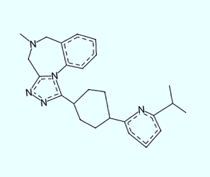 CC(C)c1cccc(C2CCC(c3nnc4n3-c3ccccc3CN(C)C4)CC2)n1